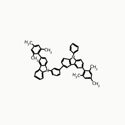 Cc1cc(C)c(-c2ccc3c(c2)c2ccccc2n3-c2cccc(-c3ccc4c(c3)c3cc(-c5c(C)cc(C)cc5C)ccc3n4-c3ccccc3)c2)c(C)c1